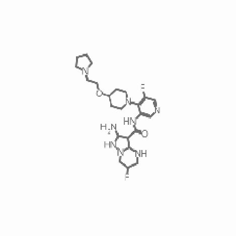 NC1NN2CC(F)CNC2C1C(=O)Nc1cncc(F)c1N1CCC(OCCN2CCCC2)CC1